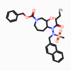 CC(C)CCC(=O)N(C1CCCN(C(=O)OCc2ccccc2)CC1O)N(Cc1ccc2ccccc2c1)S(C)(=O)=O